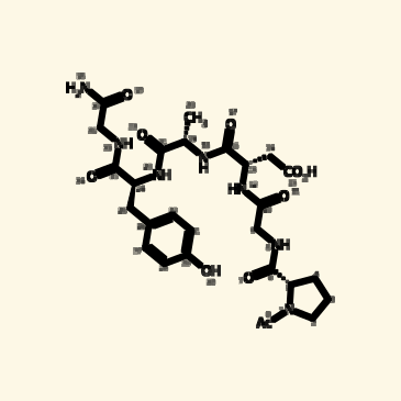 CC(=O)N1CCC[C@H]1C(=O)NCC(=O)N[C@@H](CC(=O)O)C(=O)N[C@@H](C)C(=O)N[C@@H](Cc1ccc(O)cc1)C(=O)NCC(N)=O